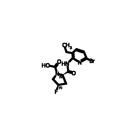 CCc1ccc(Br)nc1NC(=O)[C@@H]1C[C@@H](F)CN1C(=O)O